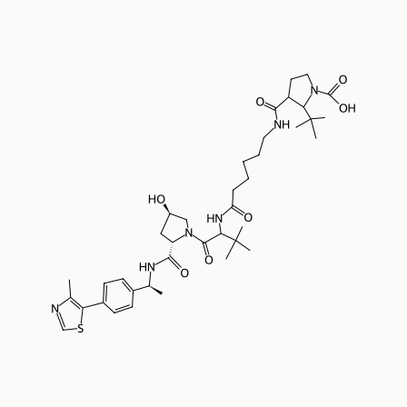 Cc1ncsc1-c1ccc([C@H](C)NC(=O)[C@@H]2C[C@@H](O)CN2C(=O)C(NC(=O)CCCCCNC(=O)C2CCN(C(=O)O)C2C(C)(C)C)C(C)(C)C)cc1